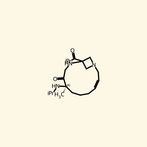 CC(C)N[C@]1(C)CCCC=CCN2CC(C(=O)C(C)C)(C2)NCC1=O